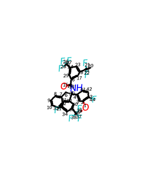 COc1cc([C@@](Cc2ccccc2)(NC(=O)c2cc(C(C)(F)F)cc(C(F)(F)F)c2)c2cc(F)cc(C(F)(F)F)c2)ccc1F